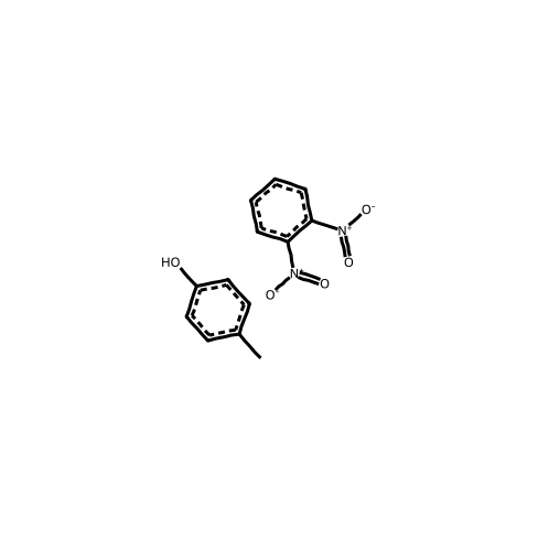 Cc1ccc(O)cc1.O=[N+]([O-])c1ccccc1[N+](=O)[O-]